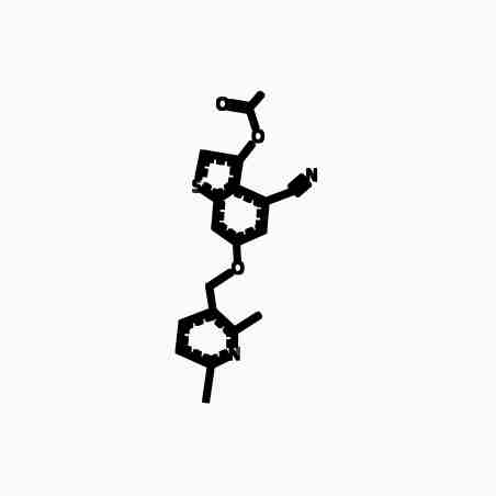 CC(=O)Oc1csc2cc(OCc3ccc(C)nc3C)cc(C#N)c12